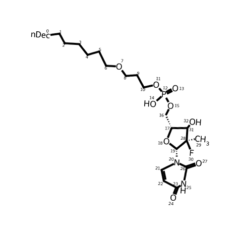 CCCCCCCCCCCCCCCCOCCCOP(=O)(O)OC[C@H]1O[C@@H](n2ccc(=O)[nH]c2=O)[C@](C)(F)C1O